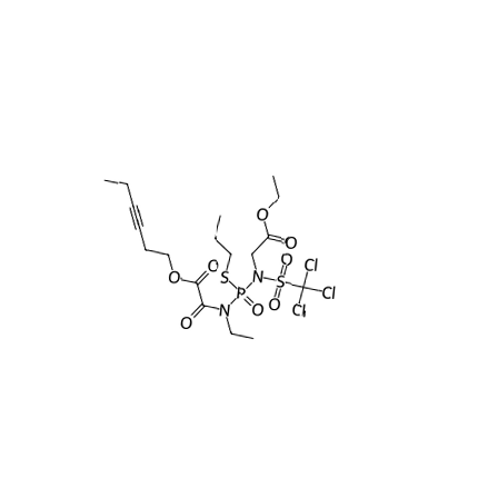 CCC#CCCOC(=O)C(=O)N(CC)P(=O)(SCCC)N(CC(=O)OCC)S(=O)(=O)C(Cl)(Cl)Cl